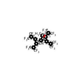 Cc1cc(-c2cc(-n3c4ccc(-c5cc(C(F)(F)F)cc(C(F)(F)F)c5)cc4c4cc(-c5cc(C(F)(F)F)cc(C(F)(F)F)c5)ccc43)c(C#N)cc2-n2c3ccc(-c4cc(C(F)(F)F)cc(C(F)(F)F)c4)cc3c3cc(-c4cc(C(F)(F)F)cc(C(F)(F)F)c4)ccc32)cc(C)n1